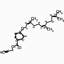 C#CCOC(=O)c1ccc(OCC=C(C)CCC=C(C)CCC=C(C)C)cc1